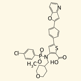 COP(=O)(c1ccc(Cl)cc1)N(CC1CCOCC1)c1cc(-c2ccc(-c3cc4ncccc4o3)cc2)sc1C(=O)O